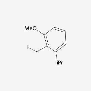 COc1cccc(C(C)C)c1CI